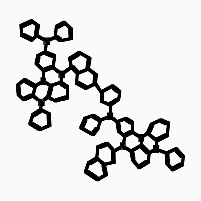 c1ccc(N(c2cccc(-c3ccc4c(N5c6cc(N(c7ccccc7)c7ccccc7)ccc6B6c7ccccc7N(c7ccccc7)c7cccc5c76)cccc4c3)c2)c2ccc3c(c2)N(c2ccc4ccccc4c2)c2cccc4c2B3c2ccccc2N4c2ccccc2)cc1